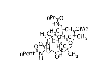 CCCCCC(=O)N[C@@H](CCC(=O)NCC(C)(C)COCC(C)(C)COC)C(=O)NCC(C)(C)COCC(C)(C)CNC(=O)CCC